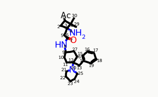 CC(=O)C1CC(N)(CC(=O)NC2CCC(Cc3ccccc3)(N3CCCCC3)CC2)C1(C)C